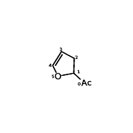 CC(=O)C1CC=CO1